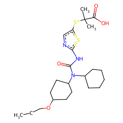 CCCOC1CCC(N(C(=O)Nc2ncc(SC(C)(C)C(=O)O)s2)C2CCCCC2)CC1